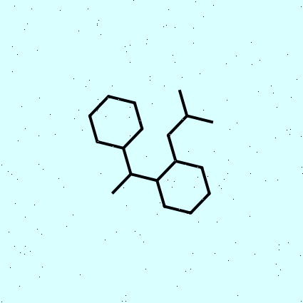 CC(C)CC1CCCCC1C(C)C1CCCCC1